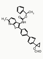 Cc1ccc2c(NC(=O)O[C@H](C)c3ccccc3)c(-c3ccc(-c4ccc(C5(OC=O)CC5)cc4)cc3)sc2n1